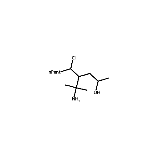 CCCCCC(Cl)C(CC(C)O)C(C)(C)N